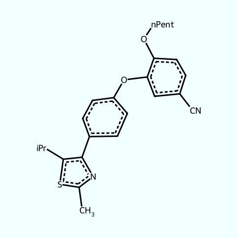 CCCCCOc1ccc(C#N)cc1Oc1ccc(-c2nc(C)sc2C(C)C)cc1